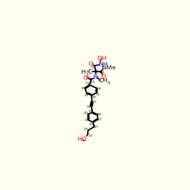 CNC(=O)C(C)(C(=O)NO)N(C)C(=O)c1ccc(C#Cc2ccc(CCCO)cc2)cc1